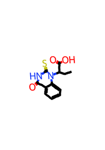 CCC(C(=O)O)n1c(=S)[nH]c(=O)c2ccccc21